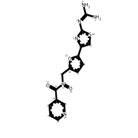 NC(N)=Nc1nc(-c2ccc(C[N+](=O)C(=O)c3cccnc3)o2)cs1